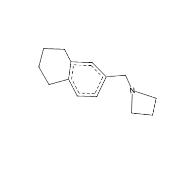 c1cc2c(cc1CN1CCC1)CCCC2